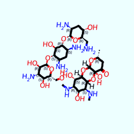 CN[C@@H]1[C@H](O)[C@H](NC)[C@H]2O[C@@]3(O)C(=O)C[C@@H](C)O[C@H]3O[C@@H]2[C@H]1O.NC[C@H]1O[C@H](O[C@H]2[C@H](O)[C@@H](O[C@H]3O[C@H](CO)[C@@H](O)[C@H](N)[C@H]3O)[C@H](N)C[C@@H]2N)[C@H](N)C[C@@H]1O